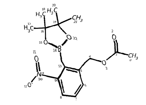 CC(=O)OCc1cccc([N+](=O)[O-])c1B1OC(C)(C)C(C)(C)O1